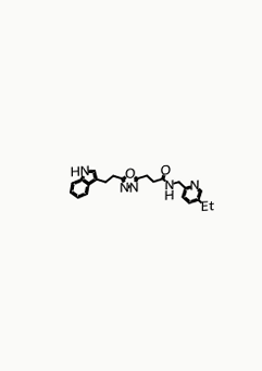 CCc1ccc(CNC(=O)CCc2nnc(CCc3c[nH]c4ccccc34)o2)nc1